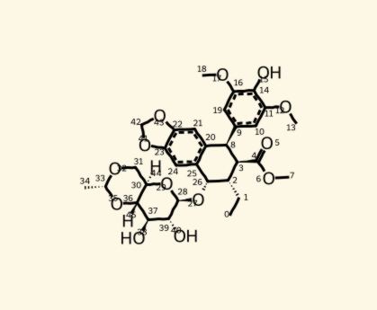 CC[C@H]1[C@H](C(=O)OC)[C@H](c2cc(OC)c(O)c(OC)c2)c2cc3c(cc2[C@H]1O[C@@H]1O[C@@H]2CO[C@@H](C)O[C@H]2[C@H](O)[C@H]1O)OCO3